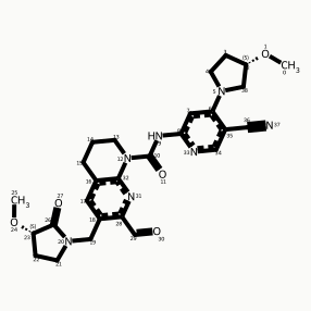 CO[C@H]1CCN(c2cc(NC(=O)N3CCCc4cc(CN5CC[C@H](OC)C5=O)c(C=O)nc43)ncc2C#N)C1